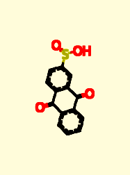 O=C1c2ccccc2C(=O)c2cc(S(=O)O)ccc21